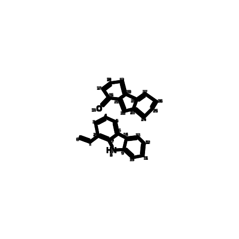 C=Cc1cccc2c1[nH]c1ccccc12.O=C1C=CC=C2C1=Cc1ccccc12